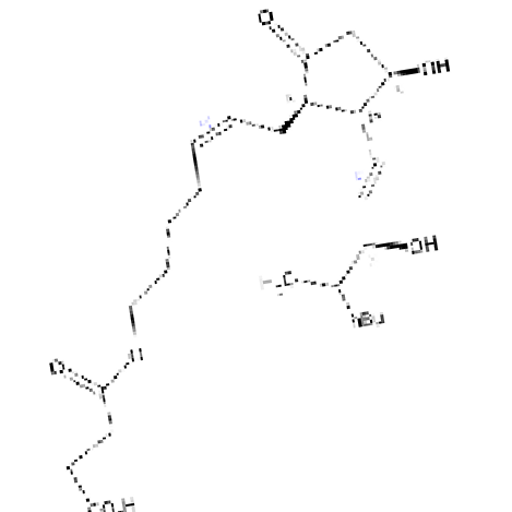 CCCCC(C)[C@H](O)/C=C/[C@H]1[C@H](O)CC(=O)[C@@H]1C/C=C\CCCCOC(=O)CCC(=O)O